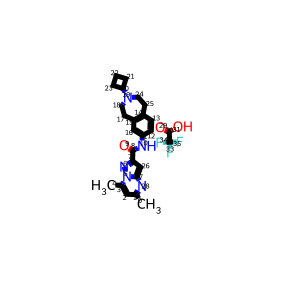 Cc1cc(C)n2nc(C(=O)Nc3ccc4c(c3)CCN(C3CCC3)CC4)cc2n1.O=C(O)C(F)(F)F